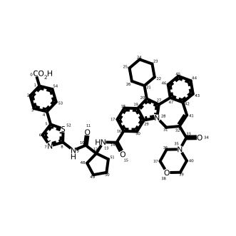 O=C(O)c1ccc(-c2cnc(NC(=O)C3(NC(=O)c4ccc5c(C6CCCCC6)c6n(c5c4)CC(C(=O)N4CCOCC4)=Cc4ccccc4-6)CCCC3)s2)cc1